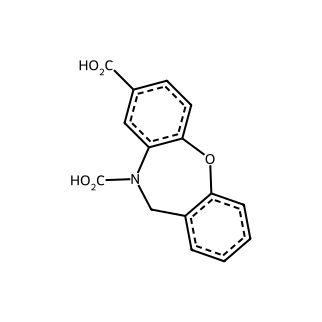 O=C(O)c1ccc2c(c1)N(C(=O)O)Cc1ccccc1O2